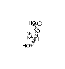 C[C@@](O)(c1ccccc1)c1coc(C(=O)c2cncnc2N[C@@H]2C[CH][C@H](O)C2)c1